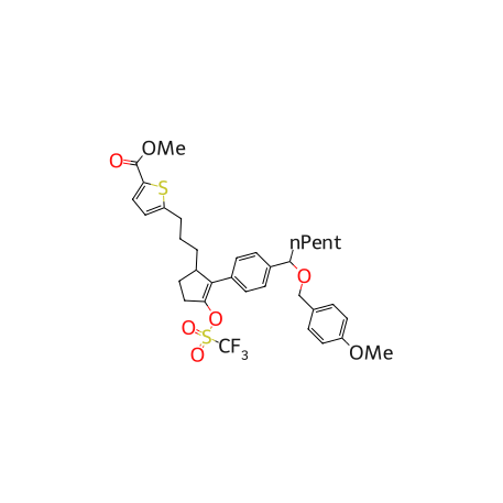 CCCCCC(OCc1ccc(OC)cc1)c1ccc(C2=C(OS(=O)(=O)C(F)(F)F)CCC2CCCc2ccc(C(=O)OC)s2)cc1